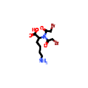 NCCCCC(C(=O)O)N(C(=O)CBr)C(=O)CBr